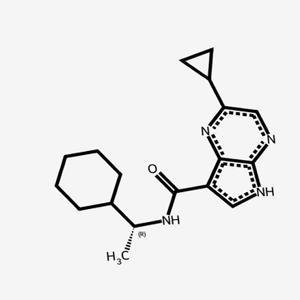 C[C@@H](NC(=O)c1c[nH]c2ncc(C3CC3)nc12)C1CCCCC1